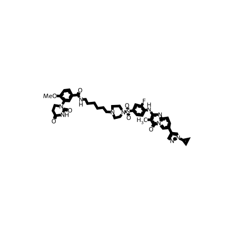 COc1ccc(C(=O)NCCCCCCN2CCN(S(=O)(=O)c3ccc(Nc4nc5ccc(-c6cnn(C7CC7)c6)cn5c(=O)c4C)c(F)c3)CC2)cc1N1CCC(=O)NC1=O